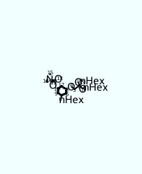 CCCCCCOC(COc1cc(CCCCCC)cc(OC(=O)N(C)C)c1)OCCCCCC